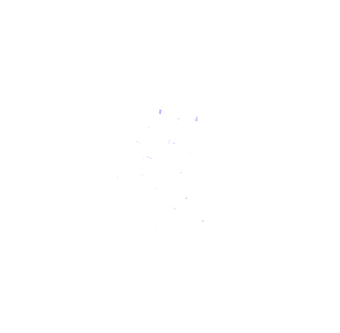 CN(C)NC(=O)CCC(=O)O.N=C(N)NCCCC(N)C(=O)O